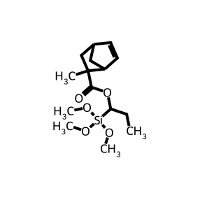 CCC(OC(=O)C1(C)CC2C=CC1C2)[Si](OC)(OC)OC